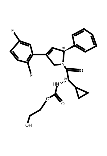 O=C(N[C@H](C(=O)N1CC(c2cc(F)ccc2F)=C[C@H]1c1ccccc1)C1CC1)OCCO